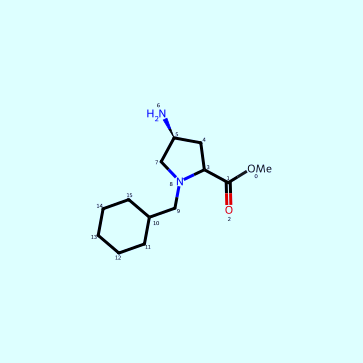 COC(=O)C1C[C@H](N)CN1CC1CCCCC1